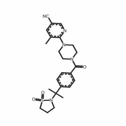 Cc1cc(C#N)cnc1N1CCN(C(=O)c2ccc(C(C)(C)N3CCCS3(=O)=O)cc2)CC1